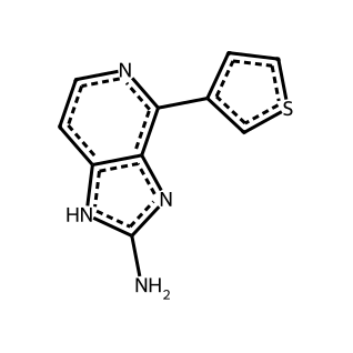 Nc1nc2c(-c3ccsc3)nccc2[nH]1